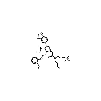 CCCCN(CCC[N+](C)(C)C)C(=O)CN1C[C@H](c2ccc3c(c2)OCO3)[C@@H](C(=O)O)[C@@H]1CCOc1ccccc1OC